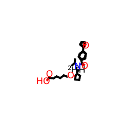 [2H]C([2H])(C1CCCC1OCCCCCC(=O)O)N(C(=O)c1ccc(-c2ccco2)cc1)C(C)C